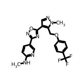 CNc1ccc(-c2noc(-c3cnn(C)c3COc3ccc(C(F)(F)F)cc3)n2)cn1